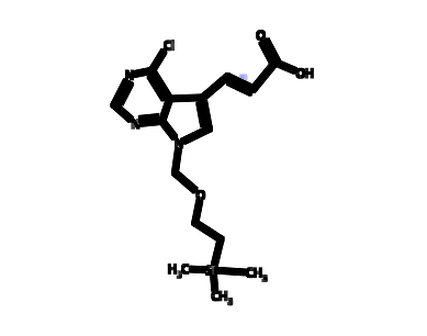 C[Si](C)(C)CCOCn1cc(/C=C/C(=O)O)c2c(Cl)ncnc21